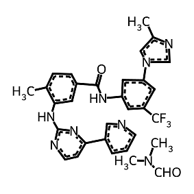 CN(C)C=O.Cc1cn(-c2cc(NC(=O)c3ccc(C)c(Nc4nccc(-c5cccnc5)n4)c3)cc(C(F)(F)F)c2)cn1